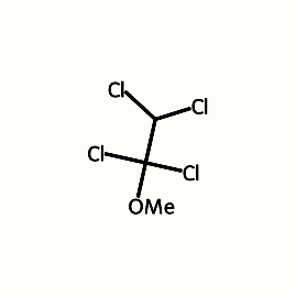 COC(Cl)(Cl)C(Cl)Cl